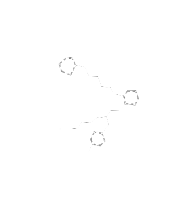 O=C(O)CCCCC(COc1ccccc1OCCCCCc1ccccc1)Cc1ccc(C(=O)O)cc1